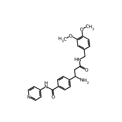 COc1ccc(CNC(=O)CC(N)c2ccc(C(=O)Nc3ccncc3)cc2)cc1OC